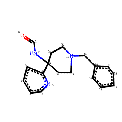 O=CNC1(c2ccccn2)CCN(Cc2ccccc2)CC1